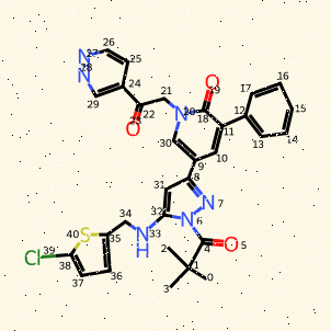 CC(C)(C)C(=O)n1nc(-c2cc(-c3ccccc3)c(=O)n(CC(=O)c3ccnnc3)c2)cc1NCc1ccc(Cl)s1